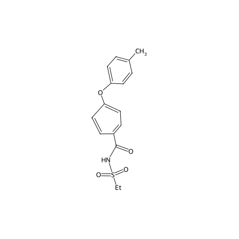 CCS(=O)(=O)NC(=O)c1ccc(Oc2ccc(C)cc2)cc1